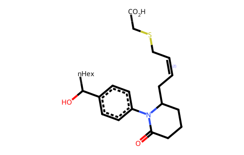 CCCCCCC(O)c1ccc(N2C(=O)CCCC2C/C=C\CSCC(=O)O)cc1